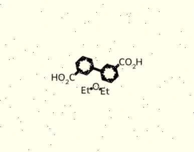 CCOCC.O=C(O)c1cccc(-c2cccc(C(=O)O)c2)c1